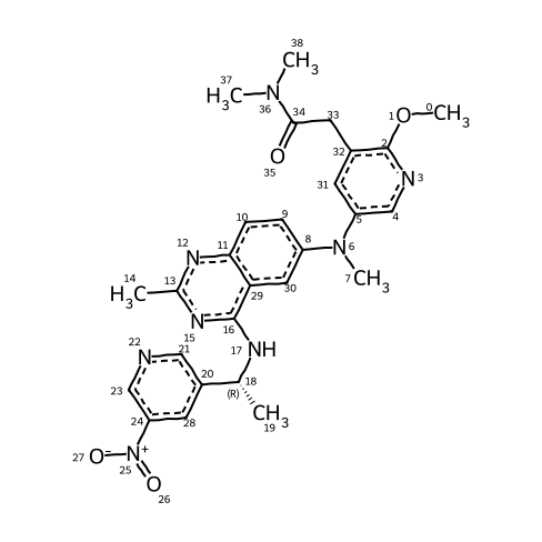 COc1ncc(N(C)c2ccc3nc(C)nc(N[C@H](C)c4cncc([N+](=O)[O-])c4)c3c2)cc1CC(=O)N(C)C